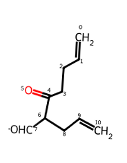 C=CCCC(=O)C([C]=O)CC=C